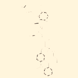 CCCOC(C)(C)[C@@H](Cc1ccc(OC)c(Cc2ccccc2)c1)[C@H](C)OC[C@@](C)(C=O)NC(=O)c1nccc(OC)c1OCOC(C)=O